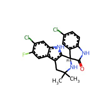 CC1(C)Cc2c([nH]c3cc(Cl)c(F)cc23)[C@@]2(N1)C(=O)Nc1ccc(Cl)cc12